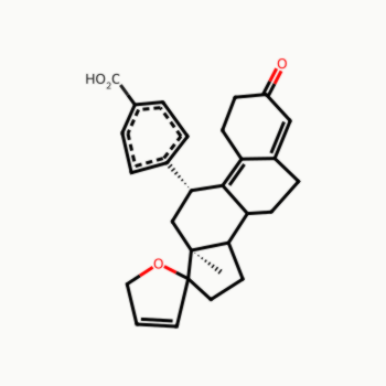 C[C@]12C[C@H](c3ccc(C(=O)O)cc3)C3=C4CCC(=O)C=C4CCC3C1CCC21C=CCO1